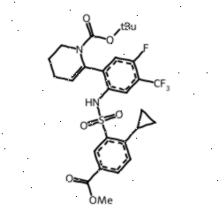 COC(=O)c1ccc(C2CC2)c(S(=O)(=O)Nc2cc(C(F)(F)F)c(F)cc2C2=CCCCN2C(=O)OC(C)(C)C)c1